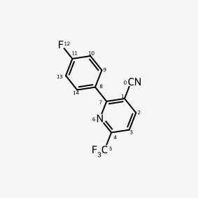 N#Cc1ccc(C(F)(F)F)nc1-c1ccc(F)cc1